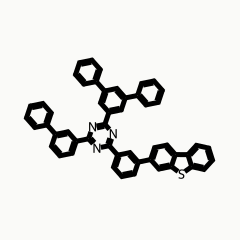 c1ccc(-c2cccc(-c3nc(-c4cccc(-c5ccc6c(c5)sc5ccccc56)c4)nc(-c4cc(-c5ccccc5)cc(-c5ccccc5)c4)n3)c2)cc1